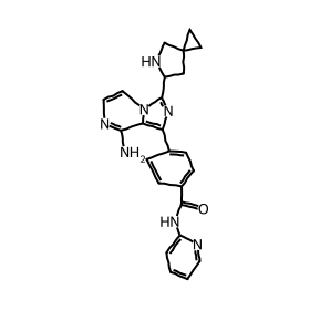 Nc1nccn2c(C3CC4(CC4)CN3)nc(-c3ccc(C(=O)Nc4ccccn4)cc3)c12